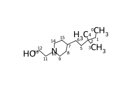 CCC(C)(C)CCC1CCN(CCO)CC1